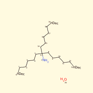 CCCCCCCCCCCCCCCC(N)(CCCCCCCCCCCCCCC)CCCCCCCCCCCCCCC.O